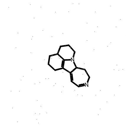 C1=NCCC2C(=C1)C1=C3C(CCC1)CCCN32